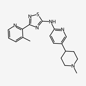 Cc1cccnc1-c1nsc(Nc2ccc(C3CCN(C)CC3)cn2)n1